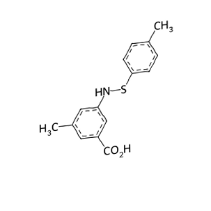 Cc1ccc(SNc2cc(C)cc(C(=O)O)c2)cc1